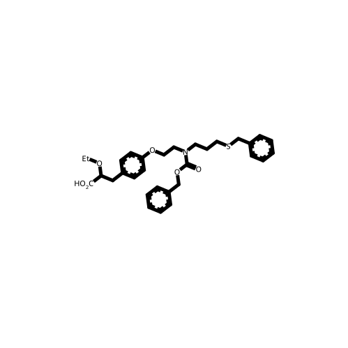 CCOC(Cc1ccc(OCCN(CCCSCc2ccccc2)C(=O)OCc2ccccc2)cc1)C(=O)O